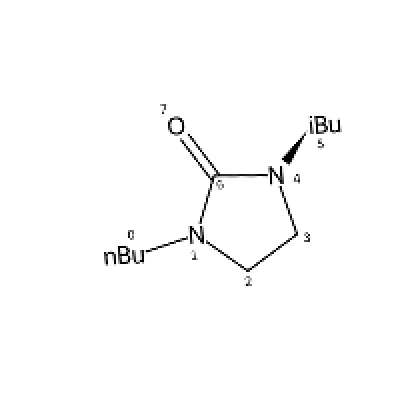 CCCCN1CCN([C@H](C)CC)C1=O